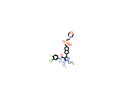 Cn1nc(C2CC3CC(O)(CS(=O)(=O)CCN4CCOCC4)CC3C2)c(C(=O)Nc2ccc(F)c(Cl)c2)c1N